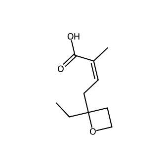 CCC1(CC=C(C)C(=O)O)CCO1